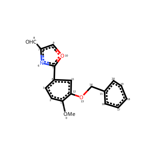 COc1ccc(-c2nc(C=O)co2)cc1OCc1ccccc1